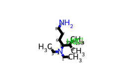 CCN(CC)C(CCCN)C(C)C.Cl.Cl